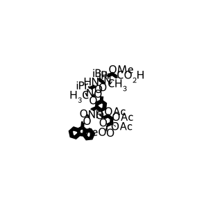 CC[C@H](C)[C@@H]([C@@H](CC(=O)O)OC)N(C)C(=O)[C@@H](NC(=O)[C@H](C(C)C)N(C)C(=O)OCc1ccc(O[C@@H]2O[C@H](C(=O)OC)[C@@H](OC(C)=O)[C@H](OC(C)=O)[C@H]2OC(C)=O)c(CNC(=O)OCC2c3ccccc3-c3ccccc32)c1)C(C)C